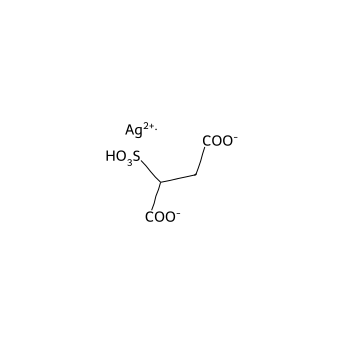 O=C([O-])CC(C(=O)[O-])S(=O)(=O)O.[Ag+2]